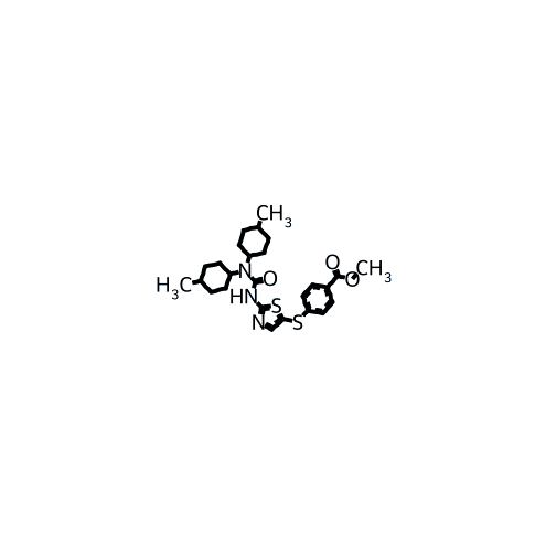 COC(=O)c1ccc(Sc2cnc(NC(=O)N(C3CCC(C)CC3)C3CCC(C)CC3)s2)cc1